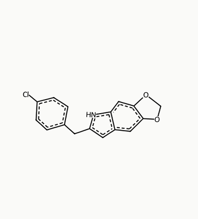 Clc1ccc(Cc2cc3cc4c(cc3[nH]2)OCO4)cc1